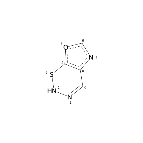 C1=NNSc2ocnc21